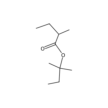 CCC(C)C(=O)OC(C)(C)CC